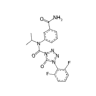 CC(C)N(C(=O)n1nnn(-c2c(F)cccc2F)c1=O)c1cccc(C(N)=O)c1